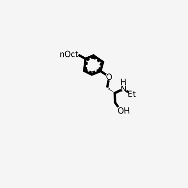 CCCCCCCCc1ccc(OC[C@@H](CO)NCC)cc1